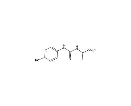 CC(NC(=O)Nc1ccc(C#N)cc1)C(=O)O